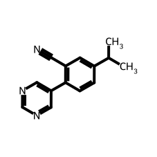 CC(C)c1ccc(-c2cncnc2)c(C#N)c1